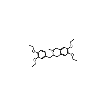 CCOc1ccc(CC2Cc3cc(OCC)c(OCC)cc3CN2C)cc1OCC